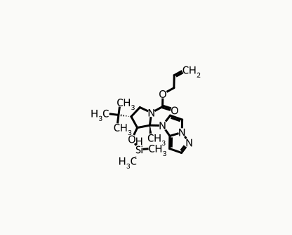 C=CCOC(=O)N1C[C@@H](C(C)(C)C)C(O[SiH](C)C)[C@@]1(C)n1ccn2nccc12